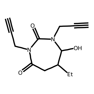 C#CCN1C(=O)CC(CC)C(O)N(CC#C)C1=O